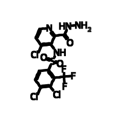 NNC(=O)c1nccc(Cl)c1NS(=O)(=O)c1ccc(Cl)c(Cl)c1C(F)(F)F